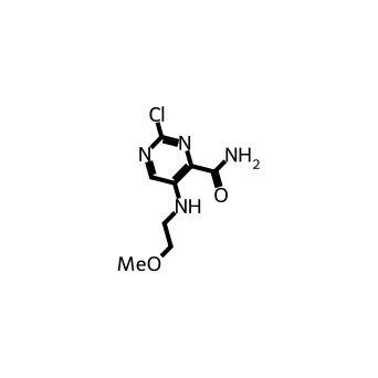 COCCNc1cnc(Cl)nc1C(N)=O